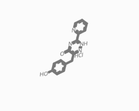 Cl.O=c1nc(-c2ccccn2)[nH]nc1Cc1ccc(O)cc1